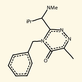 CNC(c1nnc(C)c(=O)n1Cc1ccccc1)C(C)C